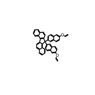 C=COc1ccc2cc(C3(c4ccc5cc(OC=C)ccc5c4)c4ccc5ccccc5c4-c4ccc5ccccc5c43)ccc2c1